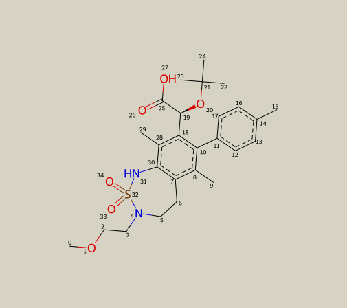 COCCN1CCc2c(C)c(-c3ccc(C)cc3)c([C@H](OC(C)(C)C)C(=O)O)c(C)c2NS1(=O)=O